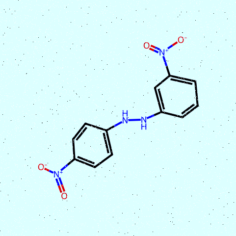 O=[N+]([O-])c1ccc(NNc2cccc([N+](=O)[O-])c2)cc1